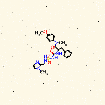 COc1ccc(N(C)C(=O)C(Cc2ccccc2)NC(=O)NS(=O)(=O)NCc2nccn2C)cc1